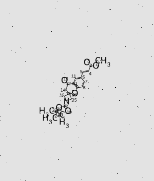 COC(=O)C=Cc1ccc2c(c1)C(=O)CC1(CN(C(=O)OC(C)(C)C)C1)O2